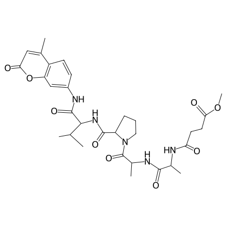 COC(=O)CCC(=O)NC(C)C(=O)NC(C)C(=O)N1CCCC1C(=O)NC(C(=O)Nc1ccc2c(C)cc(=O)oc2c1)C(C)C